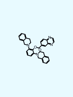 O=C(Oc1c(N2CCc3ccccc3C2)cccc1N1CCc2ccccc2C1)c1ccc2nccnc2c1